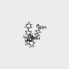 [2H]C([2H])([2H])C([2H])(c1ccc(-c2ccccc2)cc1)n1ncc2cccc(C(=O)NC3CC4(C3)CC(C(=O)O)C4)c21